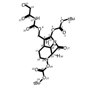 CC(C)(C)OC(=O)OC1=C(COC(=O)NC(=O)CCl)C2CCN(OC(=O)OC(C)(C)C)[C@@H]3C(=O)N1[C@H]23